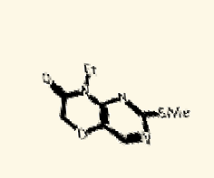 CCN1C(=O)COc2cnc(SC)nc21